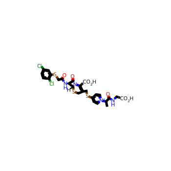 CC(C(=O)NCC(=O)O)[n+]1ccc(SCC2=C(C(=O)O)N3C(=O)[C@H](NC(=O)CSc4cc(Cl)ccc4Cl)[C@H]3SC2)cc1